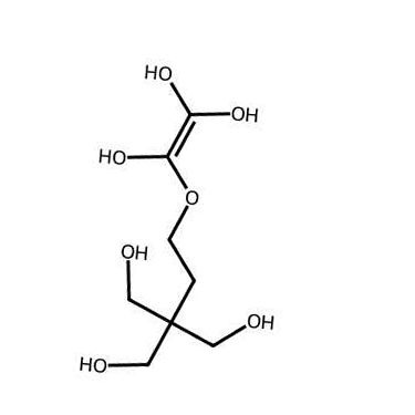 OCC(CO)(CO)CCOC(O)=C(O)O